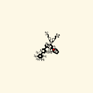 [2H]c1c([2H])c([2H])c(-c2ccc(-c3cnn4c(N(COCC[Si](C)(C)C)COCC[Si](C)(C)C)cc(C5CC6CCC(C5)N6C(=O)OC(C)(C)C)nc34)cn2)c([2H])c1[2H]